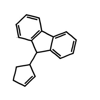 [c]1cccc2c1C(C1C=CCC1)c1ccccc1-2